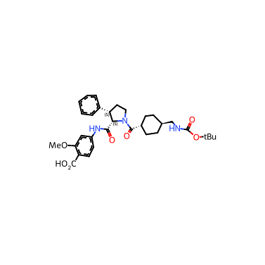 COc1cc(NC(=O)[C@@H]2[C@H](c3ccccc3)CCN2C(=O)[C@H]2CC[C@H](CNC(=O)OC(C)(C)C)CC2)ccc1C(=O)O